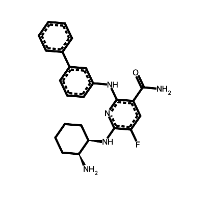 NC(=O)c1cc(F)c(N[C@@H]2CCCC[C@@H]2N)nc1Nc1cccc(-c2ccccc2)c1